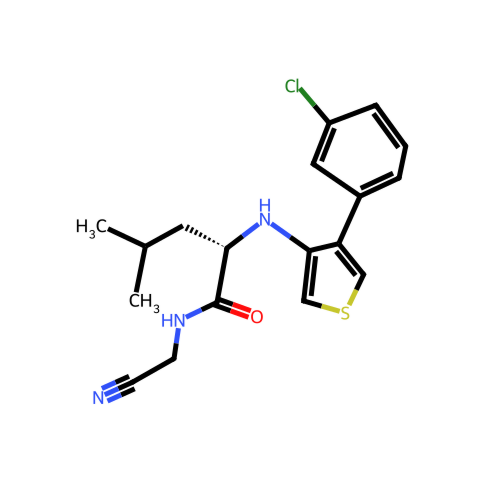 CC(C)C[C@H](Nc1cscc1-c1cccc(Cl)c1)C(=O)NCC#N